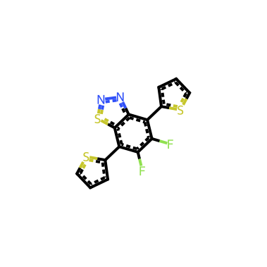 Fc1c(F)c(-c2cccs2)c2snnc2c1-c1cccs1